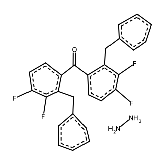 NN.O=C(c1ccc(F)c(F)c1Cc1ccccc1)c1ccc(F)c(F)c1Cc1ccccc1